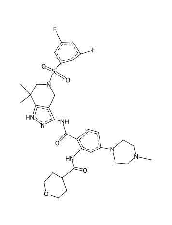 CN1CCN(c2ccc(C(=O)Nc3n[nH]c4c3CN(S(=O)(=O)c3cc(F)cc(F)c3)CC4(C)C)c(NC(=O)C3CCOCC3)c2)CC1